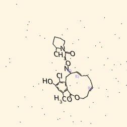 Cc1cc(O)c(Cl)c2c1C(=O)OCC/C=C/CC/C=C/C(=N\OCC(=O)N1CCCCC1C)C2